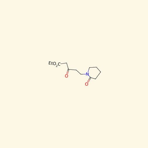 CCOC(=O)CC(=O)CCN1CCCCC1=O